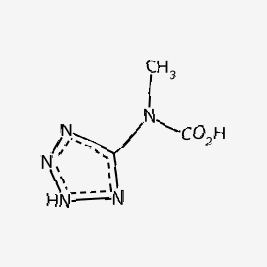 CN(C(=O)O)c1nn[nH]n1